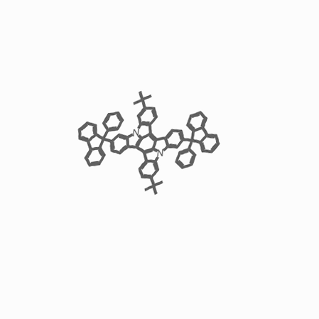 CC(C)(C)c1ccc2c3c4c5ccc(C6(c7ccccc7)c7ccccc7-c7ccccc76)cc5n5c6cc(C(C)(C)C)ccc6c(c6c7ccc(C8(c9ccccc9)c9ccccc9-c9ccccc98)cc7n(c2c1)c36)c45